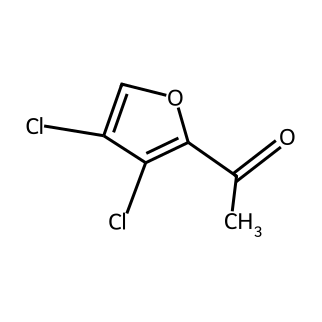 CC(=O)c1occ(Cl)c1Cl